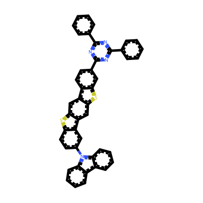 c1ccc(-c2nc(-c3ccccc3)nc(-c3ccc4c(c3)sc3cc5c(cc34)sc3ccc(-n4c6ccccc6c6ccccc64)cc35)n2)cc1